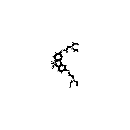 CCN(CC)CCOc1ccc2c(c1)-c1cc(OCCN(CC)CC)ccc1S2(=O)=O